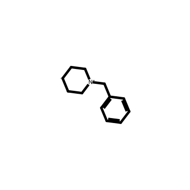 [CH]1CC[N+](Cc2ccccc2)CC1